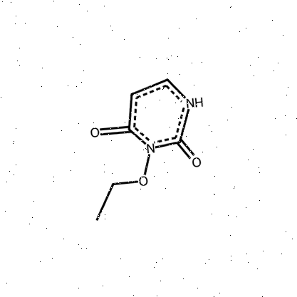 CCOn1c(=O)cc[nH]c1=O